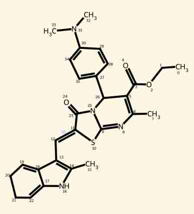 CCOC(=O)C1=C(C)N=c2s/c(=C\c3c(C)[nH]c4c3=CCCC=4)c(=O)n2C1c1ccc(N(C)C)cc1